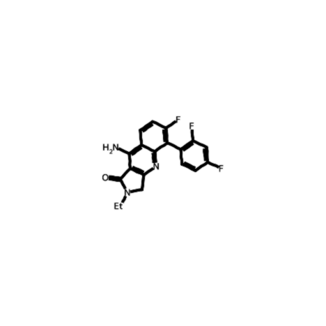 CCN1Cc2nc3c(-c4ccc(F)cc4F)c(F)ccc3c(N)c2C1=O